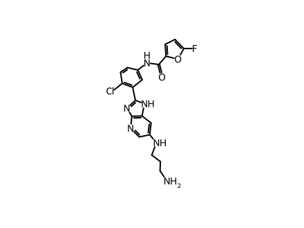 NCCCNc1cnc2nc(-c3cc(NC(=O)c4ccc(F)o4)ccc3Cl)[nH]c2c1